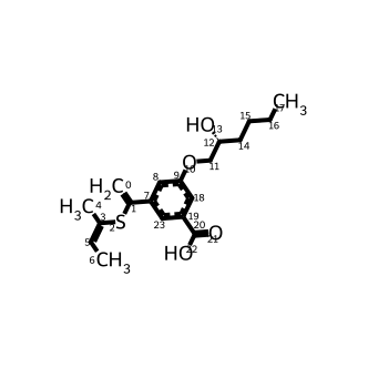 C=C(S/C(C)=C\C)c1cc(OC[C@H](O)CCCC)cc(C(=O)O)c1